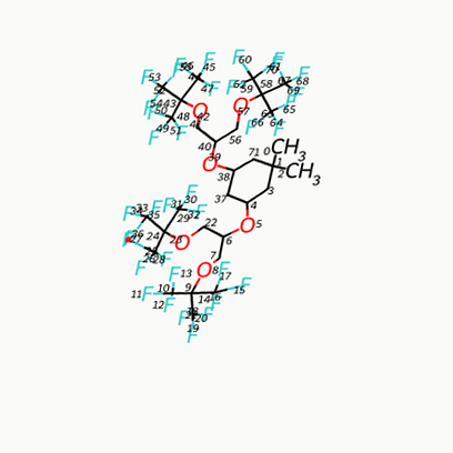 CC1(C)CC(OC(COC(C(F)(F)F)(C(F)(F)F)C(F)(F)F)COC(C(F)(F)F)(C(F)(F)F)C(F)(F)F)CC(OC(COC(C(F)(F)F)(C(F)(F)F)C(F)(F)F)COC(C(F)(F)F)(C(F)(F)F)C(F)(F)F)C1